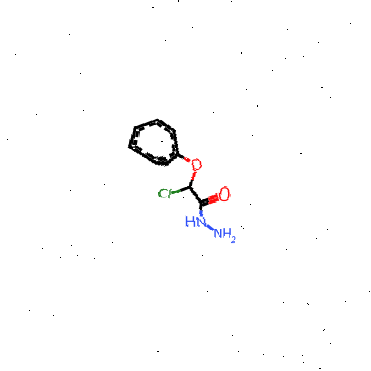 NNC(=O)C(Cl)Oc1ccccc1